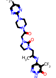 C/C(CN1CCN(CC(=O)N2CCN(c3ncc(C(F)(F)F)cn3)CC2)C1=O)=N\c1cn[nH]c(=O)c1C(F)(F)F